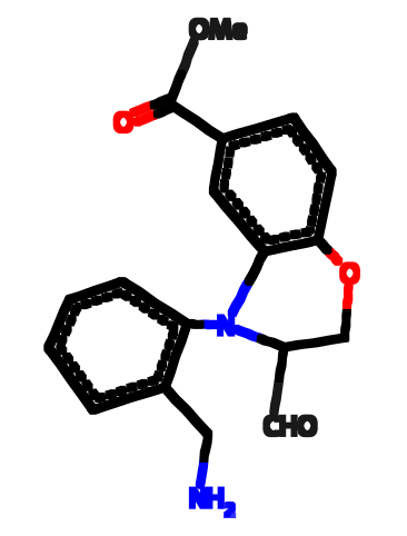 COC(=O)c1ccc2c(c1)N(c1ccccc1CN)C(C=O)CO2